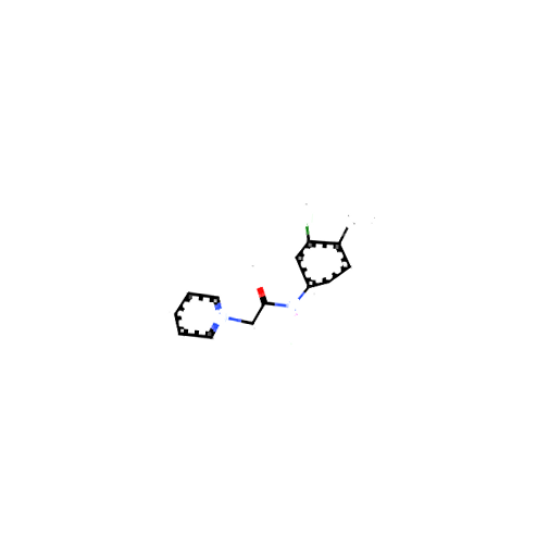 CC(=O)Nc1ccc(N(O)C(=O)C[n+]2ccccc2)cc1Cl.[Cl-]